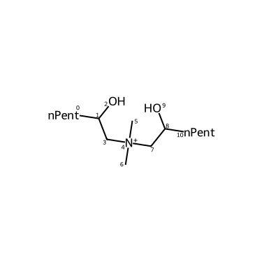 CCCCCC(O)C[N+](C)(C)CC(O)CCCCC